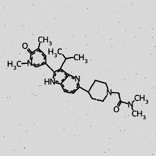 Cc1cc(-c2[nH]c3ccc(C4CCN(CC(=O)N(C)C)CC4)nc3c2C(C)C)cn(C)c1=O